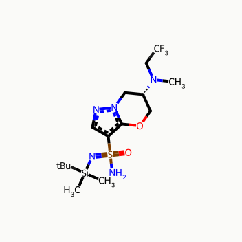 CN(CC(F)(F)F)[C@@H]1COc2c(S(N)(=O)=N[Si](C)(C)C(C)(C)C)cnn2C1